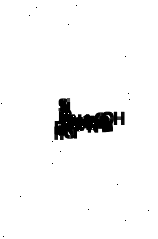 Cc1cc(OCC2(C(=O)O)CCC2)ncc1-c1cnc(-c2nc(C(F)(F)F)cn2COCC[SiH](C)C)c(Cl)c1